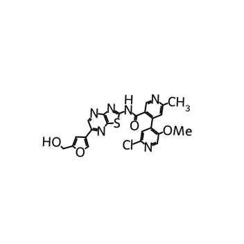 COc1cnc(Cl)cc1-c1cc(C)ncc1C(=O)Nc1nc2ncc(-c3coc(CO)c3)nc2s1